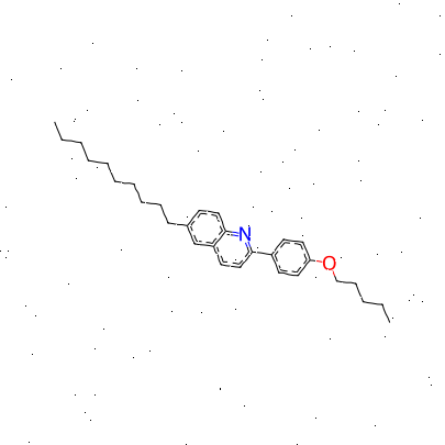 CCCCCCCCCCc1ccc2nc(-c3ccc(OCCCCC)cc3)ccc2c1